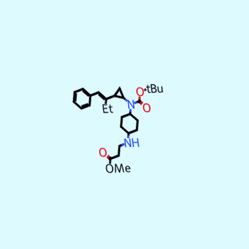 CC/C(=C\c1ccccc1)C1CC1N(C(=O)OC(C)(C)C)C1CCC(NCCC(=O)OC)CC1